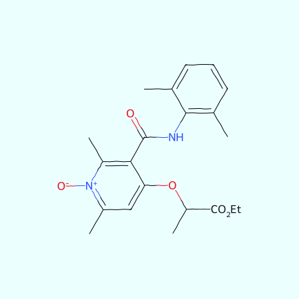 CCOC(=O)C(C)Oc1cc(C)[n+]([O-])c(C)c1C(=O)Nc1c(C)cccc1C